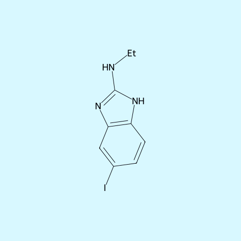 CCNc1nc2cc(I)ccc2[nH]1